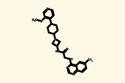 COc1cnccc1C1CCC(N2CC(NC(=O)CNc3ncnc4ccc(C)cc34)C2)CC1